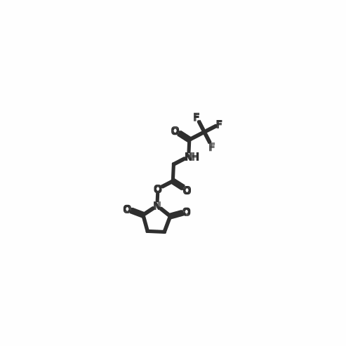 O=C(CNC(=O)C(F)(F)F)ON1C(=O)CCC1=O